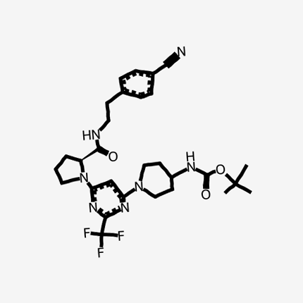 CC(C)(C)OC(=O)NC1CCN(c2cc(N3CCC[C@H]3C(=O)NCCc3ccc(C#N)cc3)nc(C(F)(F)F)n2)CC1